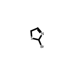 BrC1N=[C]CS1